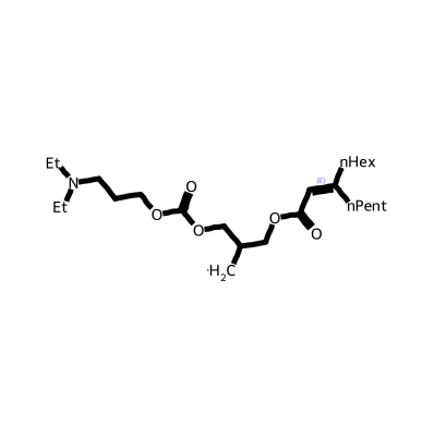 [CH2]C(COC(=O)/C=C(\CCCCC)CCCCCC)COC(=O)OCCCN(CC)CC